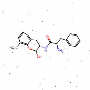 N[C@H](Cc1ccccc1)C(=O)N[C@H]1Cc2cccc(C(=O)O)c2OB1O